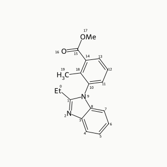 CCc1nc2ccccc2n1-c1cccc(C(=O)OC)c1C